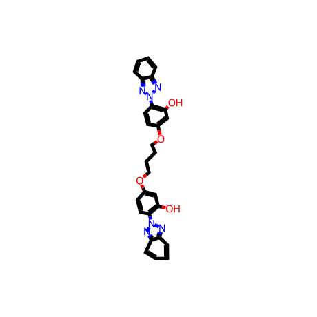 Oc1cc(OCCCCOc2ccc(-n3nc4ccccc4n3)c(O)c2)ccc1-n1nc2ccccc2n1